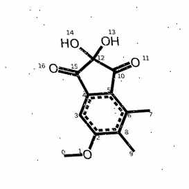 COc1cc2c(c(C)c1C)C(=O)C(O)(O)C2=O